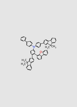 CC1(C)c2ccccc2-c2ccc(-c3ccc(N(c4ccc(-c5ccccc5)cc4)c4ccc(-c5ccc6c(c5)C(C)(C)c5ccccc5-6)c(-c5cccc6c5oc5ccccc56)c4)cc3)cc21